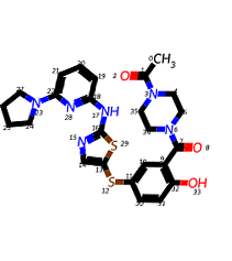 CC(=O)N1CCN(C(=O)c2cc(Sc3cnc(Nc4cccc(N5CCCC5)n4)s3)ccc2O)CC1